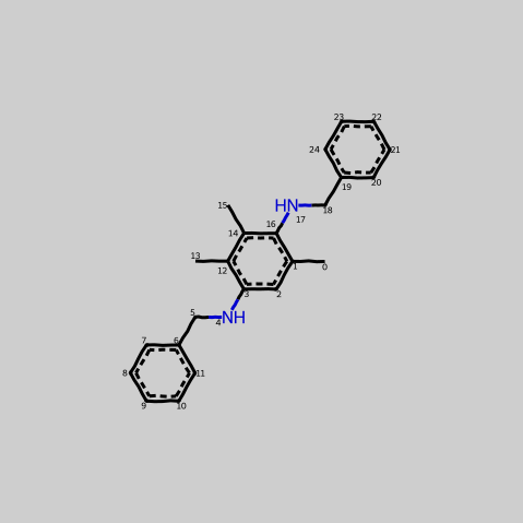 Cc1cc(NCc2ccccc2)c(C)c(C)c1NCc1ccccc1